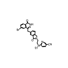 CCN(CCN1Cc2ccc(Cc3n[nH]c(=O)c4ccc(Br)cc34)cc2C1=O)c1ccc(C#N)cn1